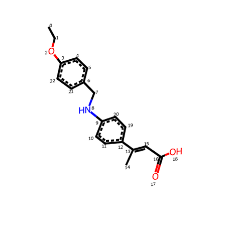 CCOc1ccc(CNc2ccc(C(C)=CC(=O)O)cc2)cc1